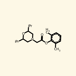 Cc1cccc(C)c1OC(=O)CN1CC(C(C)C)OC(C(C)C)C1